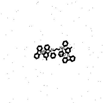 Cc1cc(-n2c3ccccc3c3ccccc32)c(O)c(P(=NCCCN=P(c2ccccc2)(c2ccccc2)c2cc(C)cc(-n3c4ccccc4c4ccccc43)c2O)(c2ccccc2)c2ccccc2)c1